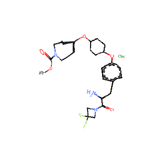 CC(C)OC(=O)N1CCC(OC2CCC(Oc3ccc(CC(N)C(=O)N4CC(F)(F)C4)cc3)CC2)CC1.Cl